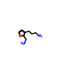 NCCCc1ccoc1CN